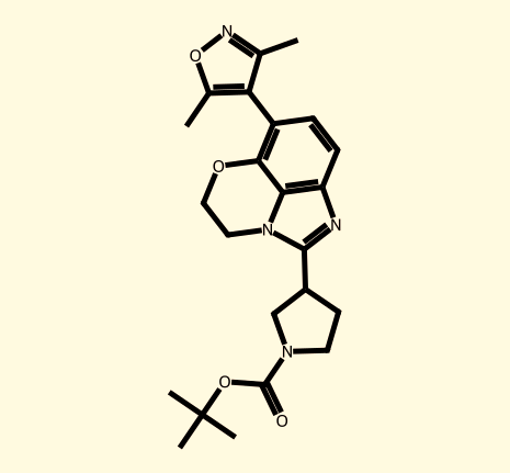 Cc1noc(C)c1-c1ccc2nc(C3CCN(C(=O)OC(C)(C)C)C3)n3c2c1OCC3